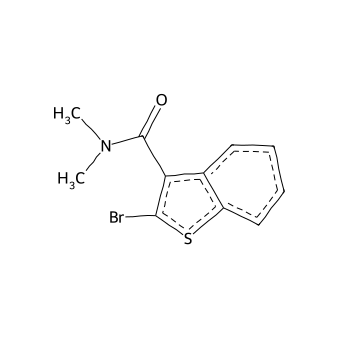 CN(C)C(=O)c1c(Br)sc2ccccc12